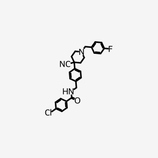 N#CC1(c2ccc(CNC(=O)c3ccc(Cl)cc3)cc2)CCN(Cc2ccc(F)cc2)CC1